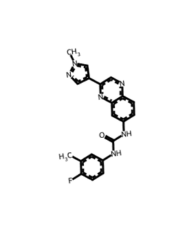 Cc1cc(NC(=O)Nc2ccc3ncc(-c4cnn(C)c4)nc3c2)ccc1F